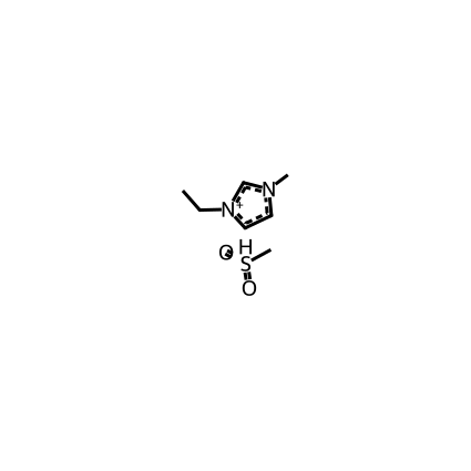 CC[n+]1ccn(C)c1.C[SH](=O)=O